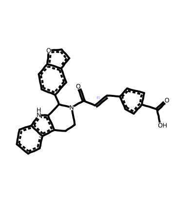 O=C(O)c1ccc(/C=C/C(=O)N2CCc3c([nH]c4ccccc34)C2c2ccc3occc3c2)cc1